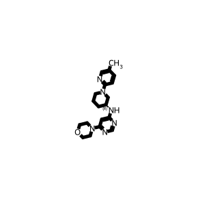 Cc1ccc(N2CCC[C@@H](Nc3cc(N4CCOCC4)ncn3)C2)nc1